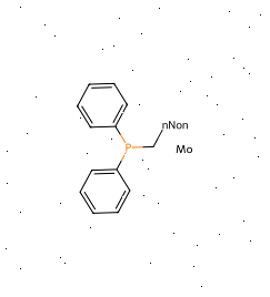 CCCCCCCCCCP(c1ccccc1)c1ccccc1.[Mo]